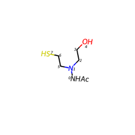 CC(=O)NN(CCO)CCS